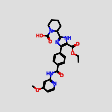 CCOC(=O)c1[nH]c(C2CCCCN2C(=O)O)nc1-c1ccc(C(=O)Nc2cc(OC)ccn2)cc1